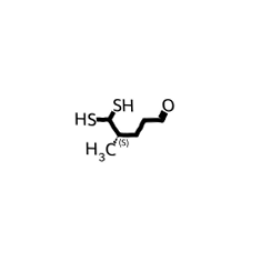 C[C@@H](CCC=O)C(S)S